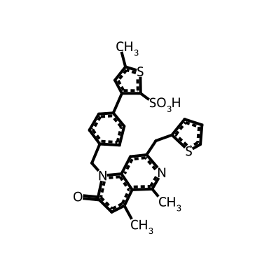 Cc1cc(-c2ccc(Cn3c(=O)cc(C)c4c(C)nc(Cc5cccs5)cc43)cc2)c(S(=O)(=O)O)s1